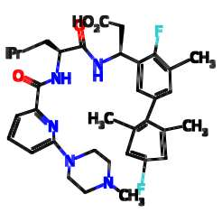 Cc1cc(-c2c(C)cc(F)cc2C)cc([C@H](CC(=O)O)NC(=O)[C@H](CC(C)C)NC(=O)c2cccc(N3CCN(C)CC3)n2)c1F